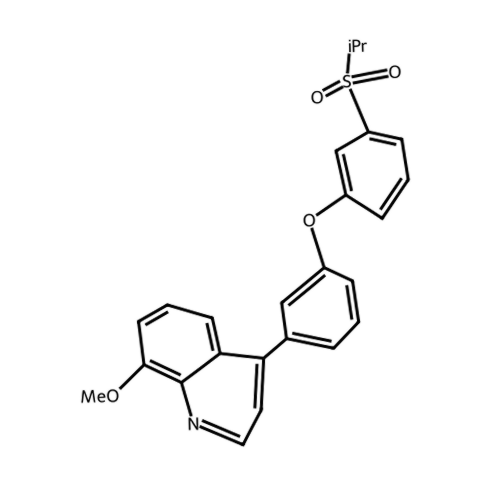 COc1cccc2c(-c3cccc(Oc4cccc(S(=O)(=O)C(C)C)c4)c3)ccnc12